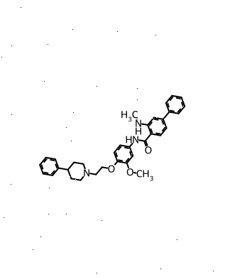 CNc1cc(-c2ccccc2)ccc1C(=O)Nc1ccc(OCCN2CCC(c3ccccc3)CC2)c(OC)c1